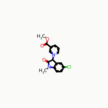 COC(=O)c1ccc[n+](C2C(=O)N(C)c3ccc(Cl)cc32)c1